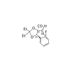 CCC1(CC)O[C@H](c2ccccc2F)[C@@](C)(C(=O)O)O1